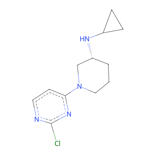 Clc1nccc(N2CCC[C@@H](NC3CC3)C2)n1